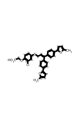 Cc1ccc(-c2ccc(C(=CCSc3ccc(OCC(=O)O)c(Cl)c3)c3ccc(-c4ccc(C)o4)cc3)cc2)o1